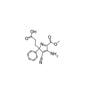 COC(=O)C1=NC(CCC(=O)O)(c2ccccc2)C(C#N)=C1N